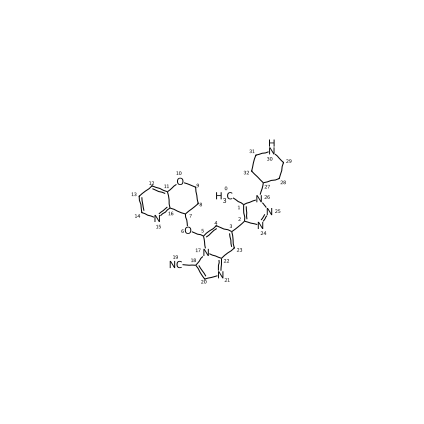 Cc1c(-c2cc(OC3CCOc4cccnc43)n3c(C#N)cnc3c2)nnn1C1CCNCC1